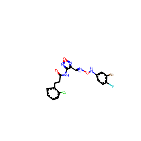 O=C(CCc1ccccc1Cl)Nc1nonc1/C=N/ONc1ccc(F)c(Br)c1